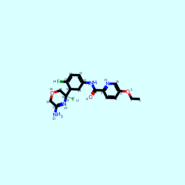 CCOc1ccc(C(=O)NC2=CC=C(F)C([C@]3(F)COCC(N)=N3)C2)nc1